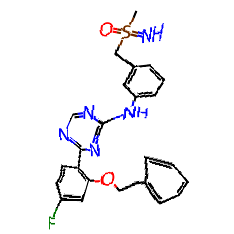 CS(=N)(=O)Cc1cccc(Nc2ncnc(-c3ccc(F)cc3OCc3ccccc3)n2)c1